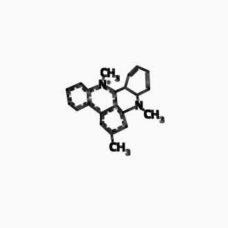 Cc1cc2c3c([n+](C)c4ccccc4c3c1)C1C=CC=CC1N2C